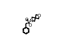 O=S(=O)(Cc1ccccc1)N1CC2(COC2)C1